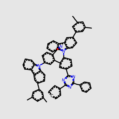 Cc1cc(C)cc(-c2ccc3c(c2)c2ccccc2n3-c2ccc(C#N)c(-c3cc(-c4nc(-c5ccccc5)nc(-c5ccccc5)n4)ccc3-n3c4ccccc4c4cc(-c5cc(C)cc(C)c5)ccc43)c2)c1